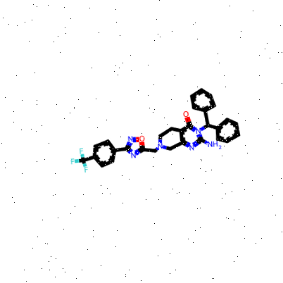 Nc1nc2c(c(=O)n1C(c1ccccc1)c1ccccc1)CCN(Cc1nc(-c3ccc(C(F)(F)F)cc3)no1)C2